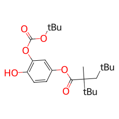 CC(C)(C)CC(C)(C(=O)Oc1ccc(O)c(OC(=O)OC(C)(C)C)c1)C(C)(C)C